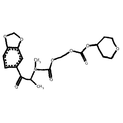 CC(C(=O)c1ccc2c(c1)OCO2)N(C)C(=O)OCOC(=O)OC1CCOCC1